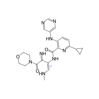 CN/C=C(/NC(=O)c1nc(C2CC2)ccc1Nc1cncnc1)C(=N)C(=O)N1CCOCC1